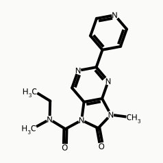 CCN(C)C(=O)n1c(=O)n(C)c2nc(-c3ccncc3)ncc21